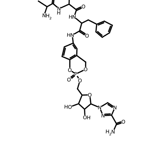 CC(N)C(=O)NC(C)C(=O)NC(Cc1ccccc1)C(=O)Nc1ccc2c(c1)COP(=O)(OCC1OC(n3cnc(C(N)=O)n3)C(O)C1O)O2